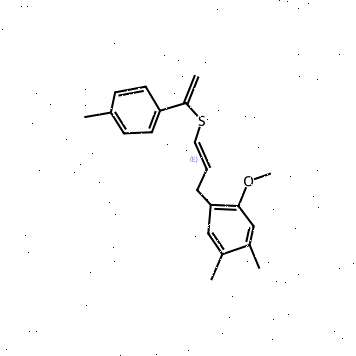 C=C(S/C=C/Cc1cc(C)c(C)cc1OC)c1ccc(C)cc1